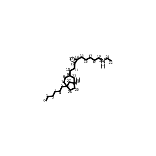 CCCCCCC12CCC(CCC3OC3CCCCCNCC)C[C@@H](CC1)C2